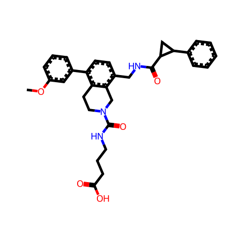 COc1cccc(-c2ccc(CNC(=O)C3CC3c3ccccc3)c3c2CCN(C(=O)NCCCC(=O)O)C3)c1